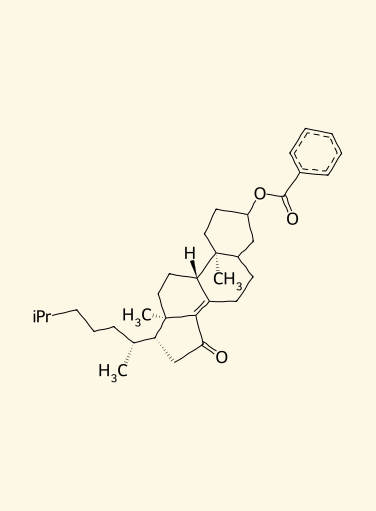 CC(C)CCC[C@@H](C)[C@H]1CC(=O)C2=C3CCC4CC(OC(=O)c5ccccc5)CC[C@]4(C)[C@H]3CC[C@@]21C